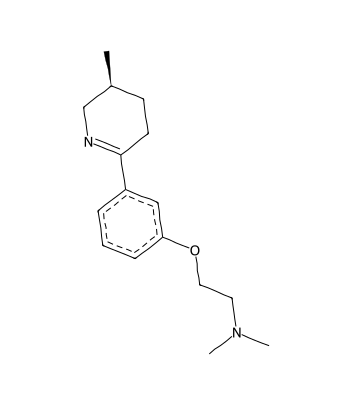 C[C@H]1CCC(c2cccc(OCCN(C)C)c2)=NC1